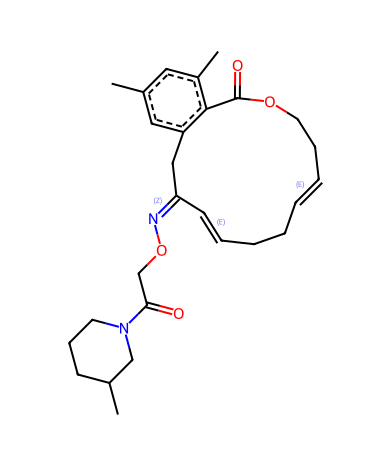 Cc1cc(C)c2c(c1)CC(=N/OCC(=O)N1CCCC(C)C1)/C=C/CC/C=C/CCOC2=O